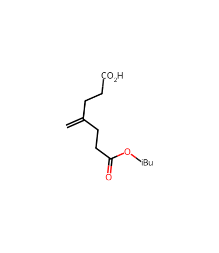 C=C(CCC(=O)O)CCC(=O)OC(C)CC